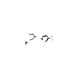 CCCC(CCOC(=O)Cl)SSc1ccc([N+](=O)[O-])cn1